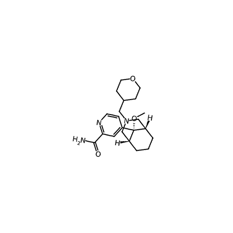 CO[C@@]1(c2ccnc(C(N)=O)c2)[C@@H]2CCC[C@H]1CN(CC1CCOCC1)C2